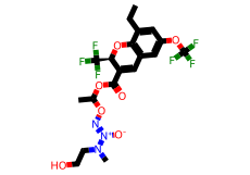 CCc1cc(OC(F)(F)F)cc2c1O[C@H](C(F)(F)F)C(C(=O)OC(C)O/N=[N+](\[O-])N(C)CCO)=C2